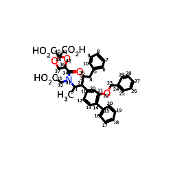 CC(C(CCc1ccccc1)c1ccc(-c2ccccc2)c(OCc2ccccc2)c1)N(CC(=O)O)C(=O)C1COC(C(=O)O)(C(=O)O)O1